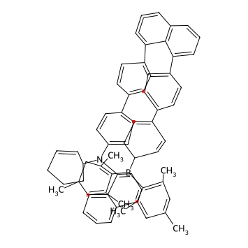 CC1=CC(C)CC(C)=C1B(c1c(C)cc(C)cc1C)C1C=CC(c2ccc(-c3cccc4c3C(c3ccc(-c5ccc(N(c6cccc7ccccc67)C6C=CCCC6)cc5)cc3)=C=C=C4)cc2)=CC1